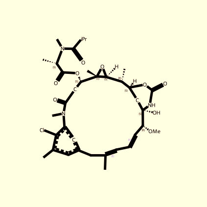 CO[C@@H]1/C=C/C=C(\C)Cc2cc(C)c(Cl)c(c2)N(C)C(=O)C[C@H](OC(=O)[C@H](C)N(C)C(=O)C(C)C)[C@]2(C)O[C@H]2[C@H](C)[C@@H]2C[C@@]1(O)NC(=O)O2